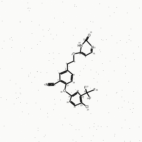 N#Cc1cc(CCOc2ccnc(=O)[nH]2)ccc1Oc1ccc(Cl)c(C(F)(F)F)c1